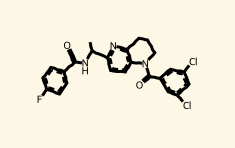 CC(NC(=O)c1ccc(F)cc1)c1ccc2c(n1)CCCN2C(=O)c1cc(Cl)cc(Cl)c1